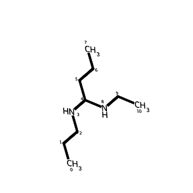 CC[CH]NC(CCC)NCC